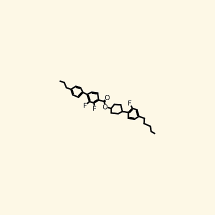 CCCCCc1ccc(C2CCC(OC(=O)c3ccc(-c4ccc(CCC)cc4)c(F)c3F)CC2)c(F)c1